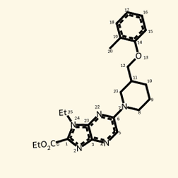 CCOC(=O)c1nc2ncc(N3CCCC(COc4ccccc4C)C3)nc2n1CC